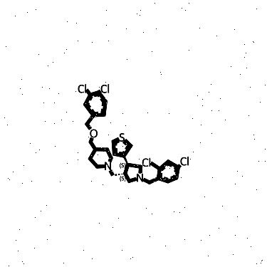 Clc1ccc(CN2C[C@H](CN3CCC(COCc4ccc(Cl)c(Cl)c4)CC3)[C@@H](c3ccsc3)C2)c(Cl)c1